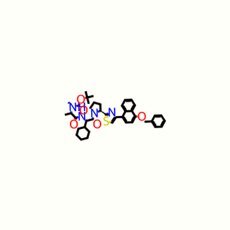 CC(C(=O)NC(C(=O)N1CCC[C@H]1c1nc(-c2ccc(OCc3ccccc3)c3ccccc23)cs1)C1CCCCC1)N(C)C(=O)OC(C)(C)C